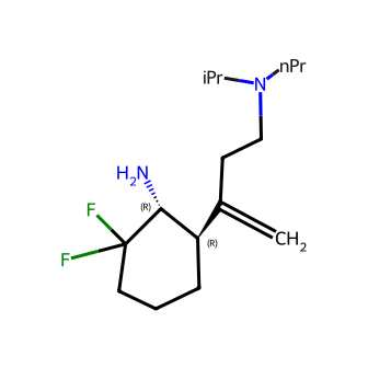 C=C(CCN(CCC)C(C)C)[C@H]1CCCC(F)(F)[C@@H]1N